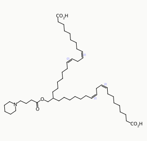 O=C(O)CCCCCCC/C=C\C/C=C\CCCCCCC(CCCCCC/C=C\C/C=C\CCCCCCCC(=O)O)COC(=O)CCCN1CCCCC1